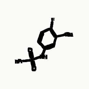 CCCS(=O)(=O)Nc1ccc(F)c(C(C)(C)C)c1